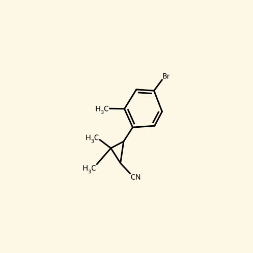 Cc1cc(Br)ccc1C1C(C#N)C1(C)C